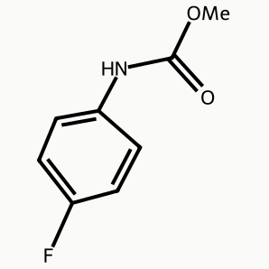 COC(=O)Nc1ccc(F)cc1